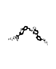 COc1cccc(-c2ccc(=O)n(CCc3ccc4ncc(-c5cnn(C)c5)cc4c3)n2)c1